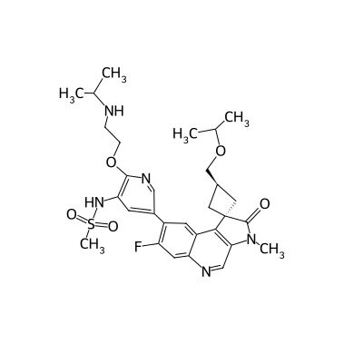 CC(C)NCCOc1ncc(-c2cc3c(cc2F)ncc2c3[C@]3(C[C@H](COC(C)C)C3)C(=O)N2C)cc1NS(C)(=O)=O